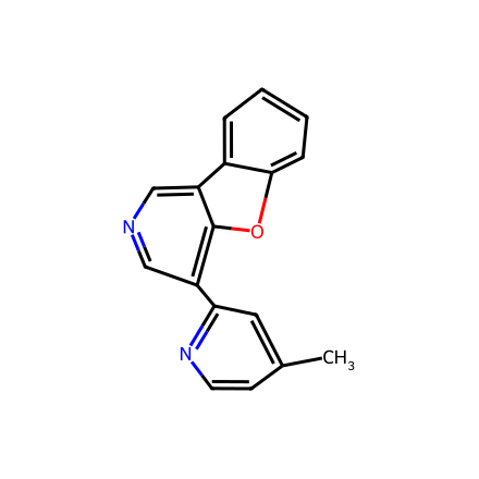 Cc1ccnc(-c2cncc3c2oc2ccccc23)c1